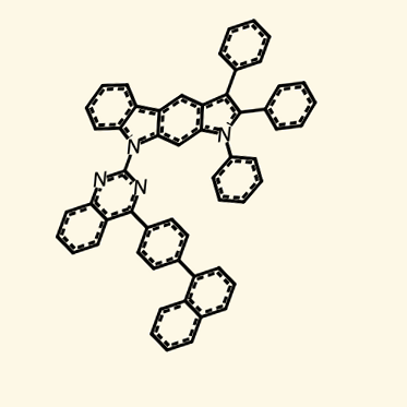 c1ccc(-c2c(-c3ccccc3)n(-c3ccccc3)c3cc4c(cc23)c2ccccc2n4-c2nc(-c3ccc(-c4cccc5ccccc45)cc3)c3ccccc3n2)cc1